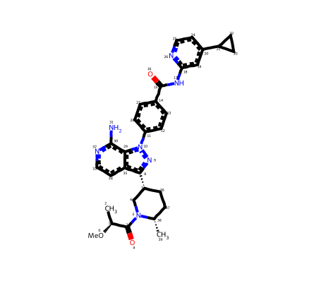 CO[C@@H](C)C(=O)N1C[C@H](c2nn(-c3ccc(C(=O)Nc4cc(C5CC5)ccn4)cc3)c3c(N)nccc23)CC[C@@H]1C